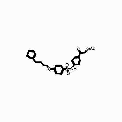 CC(=O)SCC(=O)c1ccc(NS(=O)(=O)c2ccc(OCCCCc3ccccc3)cc2)cc1